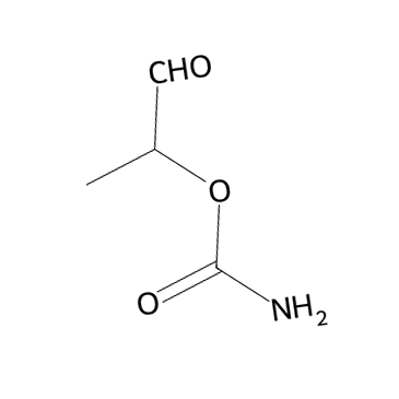 CC(C=O)OC(N)=O